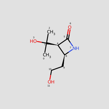 CC(C)(O)[C@H]1C(=O)N[C@H]1CCO